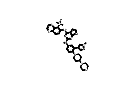 Cn1cc(-c2cc(Nc3nc(Nc4ccc5nccnc5c4P(C)(C)=O)c4cc[nH]c4n3)ccc2N2CCC(N3CCOCC3)CC2)cn1